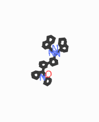 c1cc(-c2cccc(-c3c4ccccc4n4c3oc3ccccc34)c2)cc(-c2nc(-c3cccc4ccccc34)nc(-c3cccc4ccccc34)n2)c1